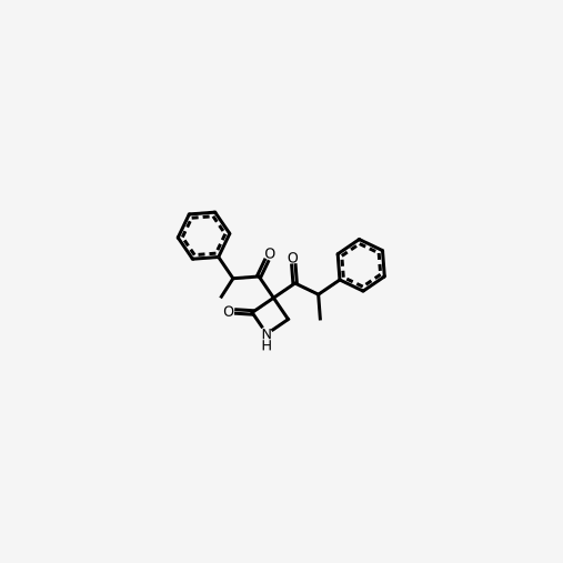 CC(C(=O)C1(C(=O)C(C)c2ccccc2)CNC1=O)c1ccccc1